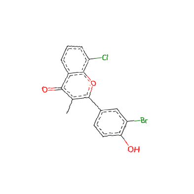 Cc1c(-c2ccc(O)c(Br)c2)oc2c(Cl)cccc2c1=O